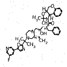 C=C[C@@H]1CN(C(C)(C)c2ncc(-c3cncc(F)c3)o2)CCN1C[C@@H](O)C[C@@H](Cc1ccccc1)C(=O)N1[C@H]2c3ccccc3OC[C@H]2OC1(C)C